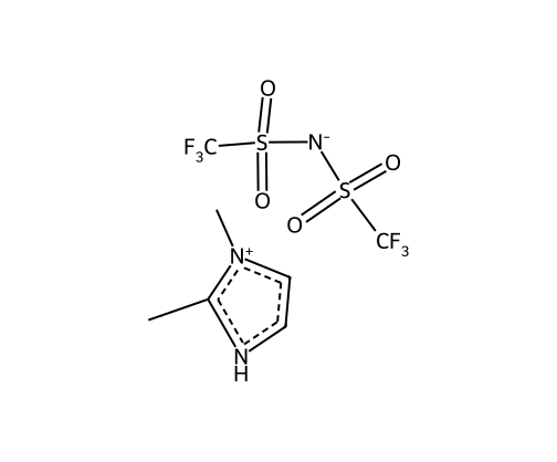 Cc1[nH]cc[n+]1C.O=S(=O)([N-]S(=O)(=O)C(F)(F)F)C(F)(F)F